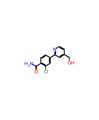 NC(=O)c1ccc(-c2cc(CO)ccn2)cc1Cl